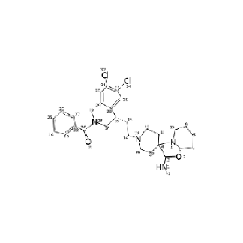 CNC(=O)C1(N2CCCCC2)CCN(CC[C@H](CN(C)C(=O)c2ccccc2)c2ccc(Cl)c(Cl)c2)CC1